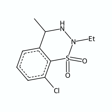 CCN1NC(C)c2cccc(Cl)c2S1(=O)=O